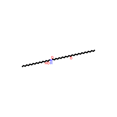 CCCCCCCCCCCCCCCCC(O)CNC(=O)CCCCCCCCCCC(=O)CCCCCCCCCCCCCCC